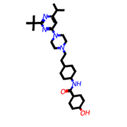 CC(C)c1cc(N2CCN(CCC3CCC(NC(=O)C4CCC(O)CC4)CC3)CC2)nc(C(C)(C)C)n1